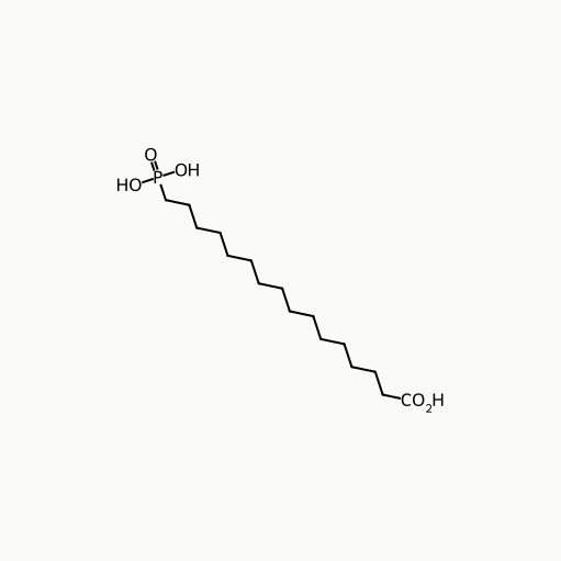 O=C(O)CCCCCCCCCCCCCCCP(=O)(O)O